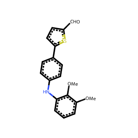 COc1cccc(Nc2ccc(-c3ccc(C=O)s3)cc2)c1OC